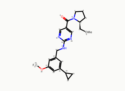 COC[C@@H]1CCCN1C(=O)c1cnc(NCc2cc(OC(F)(F)F)cc(C3CC3)c2)nc1